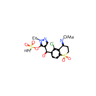 CCCS(=O)(=O)Oc1c(C(=O)c2ccc3c(c2Cl)C(=NOC)CCS3(=O)=O)cnn1CC